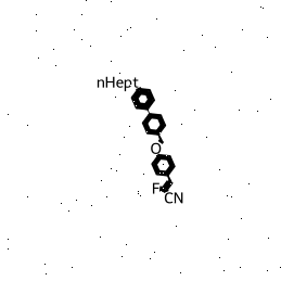 CCCCCCCc1ccc([C@H]2CC[C@H](CO[C@H]3CC[C@H](C=C(F)C#N)CC3)CC2)cc1